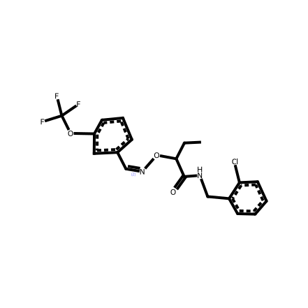 CCC(O/N=C\c1cccc(OC(F)(F)F)c1)C(=O)NCc1ccccc1Cl